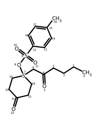 CCCCC(=O)CS1(OS(=O)(=O)c2ccc(C)cc2)CCC(=O)CC1